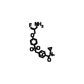 CN(C(=O)C12CCC(CS(=O)(=O)c3ccc(OCC(=CF)CN)cc3)(CC1)CC2)C1CC1